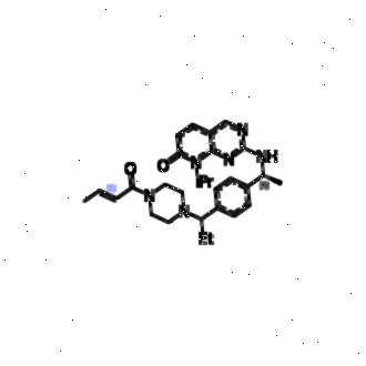 C/C=C/C(=O)N1CCN(C(CC)c2ccc([C@H](C)Nc3ncc4ccc(=O)n(C(C)C)c4n3)cc2)CC1